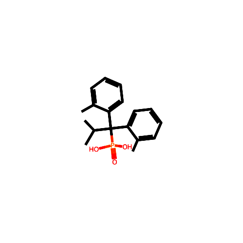 Cc1ccccc1C(c1ccccc1C)(C(C)C)P(=O)(O)O